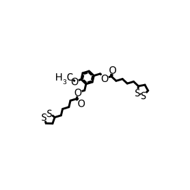 COc1ccc(COC(=O)CCCCC2CCSS2)cc1COC(=O)CCCCC1CCSS1